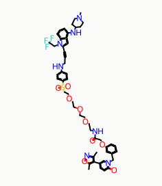 Cc1noc(C)c1-c1ccc(=O)n(Cc2cccc(OCC(=O)NCCOCCOCCOCCS(=O)(=O)c3ccc(NCC#Cc4cc5c(NC6CCN(C)CC6)cccc5n4CC(F)(F)F)cc3)c2)c1